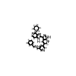 c1ccc(CNCc2cncc(-c3cnc4[nH]nc(-c5nc6c(N7CCCCC7)nccc6[nH]5)c4c3)c2)cc1